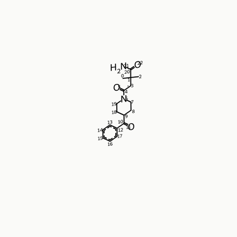 CC(C)([CH]C(=O)N1CCC(C(=O)c2ccccc2)CC1)C(N)=O